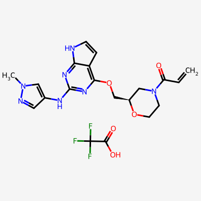 C=CC(=O)N1CCO[C@@H](COc2nc(Nc3cnn(C)c3)nc3[nH]ccc23)C1.O=C(O)C(F)(F)F